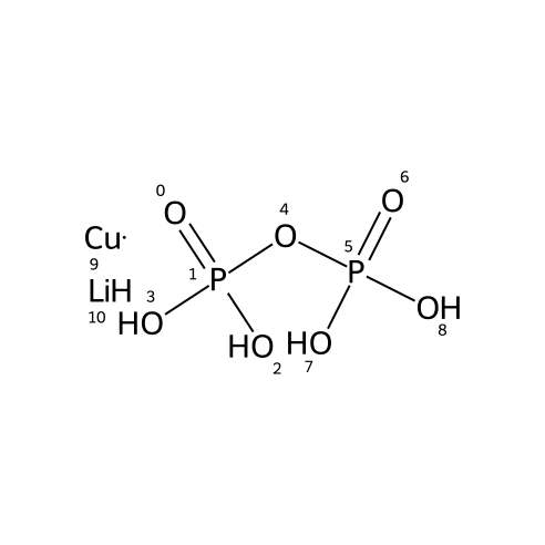 O=P(O)(O)OP(=O)(O)O.[Cu].[LiH]